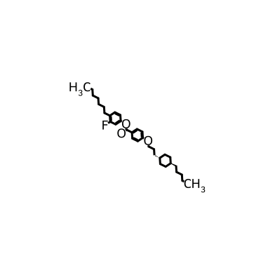 CCCCCCCc1ccc(OC(=O)c2ccc(OCCC[C@H]3CC[C@H](CCCCC)CC3)cc2)cc1F